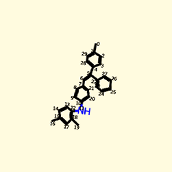 Cc1ccc(C(=Cc2ccc(Nc3ccc(C)cc3C)cc2)c2ccccc2)cc1